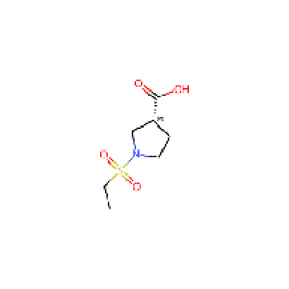 CCS(=O)(=O)N1CC[C@@H](C(=O)O)C1